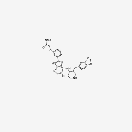 CNC(=O)COc1cccc(-c2nc3c(NC4CCNCC4Cc4ccc5c(c4)OCO5)c(Cl)cnc3[nH]2)c1